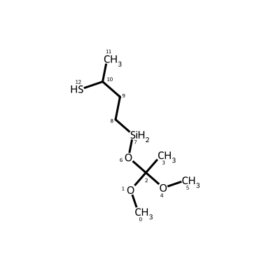 COC(C)(OC)O[SiH2]CCC(C)S